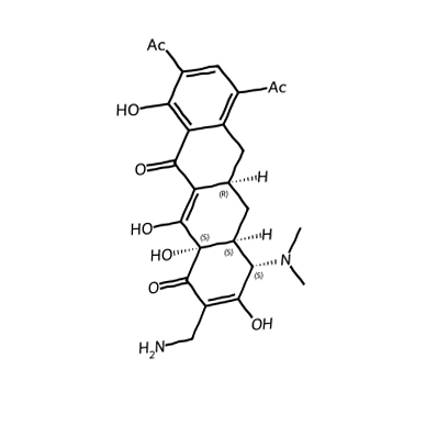 CC(=O)c1cc(C(C)=O)c2c(c1O)C(=O)C1=C(O)[C@]3(O)C(=O)C(CN)=C(O)[C@@H](N(C)C)[C@@H]3C[C@@H]1C2